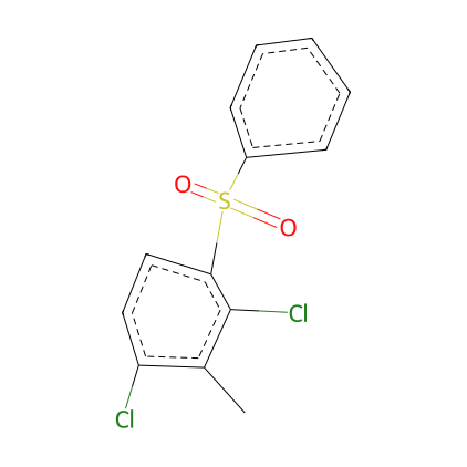 Cc1c(Cl)ccc(S(=O)(=O)c2ccccc2)c1Cl